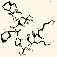 C=CCNC(=O)C(=O)C(CCCC)NC(=O)[C@@H]1[C@@H](C(C)C)CCN1C(=O)[C@@H](NC(=O)N[C@H](CN1Cc2ccccc2S1(=O)=O)C(C)(C)C)C1CCCCC1